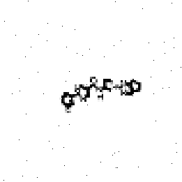 O=C(NC1CCN(c2ncc3c(n2)CCC3)C1)c1cnc(-c2cccc(F)c2)nc1